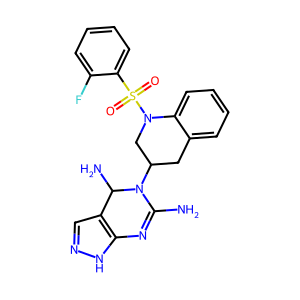 NC1=Nc2[nH]ncc2C(N)N1C1Cc2ccccc2N(S(=O)(=O)c2ccccc2F)C1